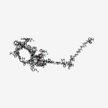 CCCC[C@H](NC(=O)[C@H](CN)NC(=O)[C@H](Cc1c[nH]cn1)NC(=O)[C@H](CCC(N)=O)NC(=O)[C@H](CO)NC(=O)CNC(=O)COCCOCCNC(=O)CC[C@H](NC(=O)CNC(=O)CCCCCCCCCCCCCCCCC(=O)O)C(=O)O)C(=O)N[C@H]1CCC(=O)NCCCC[C@@H](C(C)=O)NC(=O)[C@H](Cc2c[nH]c3ccccc23)NC(=O)[C@H](CCCNC(=N)N)NC(=O)[C@@H](Cc2ccccc2)NC(=O)[C@@H]2C[C@@H](O)CN2C1=O